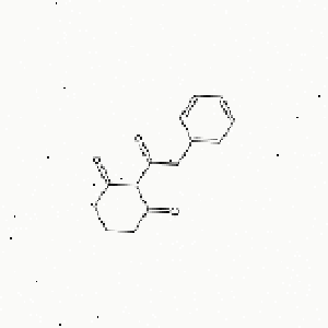 O=C1CCCC(=O)C1C(=O)Cc1ccccc1